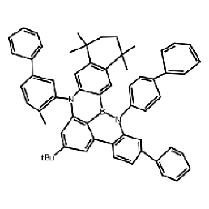 Cc1ccc(-c2ccccc2)cc1N1c2cc3c(cc2B2c4c(cc(C(C)(C)C)cc41)-c1ccc(-c4ccccc4)cc1N2c1ccc(-c2ccccc2)cc1)C(C)(C)CCC3(C)C